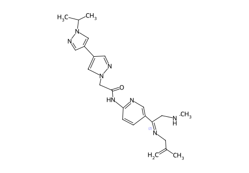 C=C(C)C/N=C(\CNC)c1ccc(NC(=O)Cn2cc(-c3cnn(C(C)C)c3)cn2)nc1